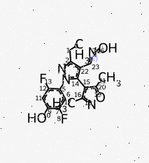 CCc1nn(-c2cc(F)c(O)cc2F)c(-c2c(C)noc2C)c1/C=N/O